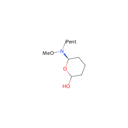 CCCC(C)N(OC)[C@H]1CCCC(O)O1